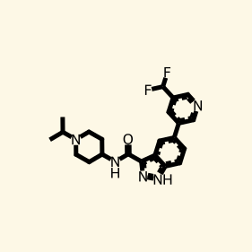 CC(C)N1CCC(NC(=O)c2n[nH]c3ccc(-c4cncc(C(F)F)c4)cc23)CC1